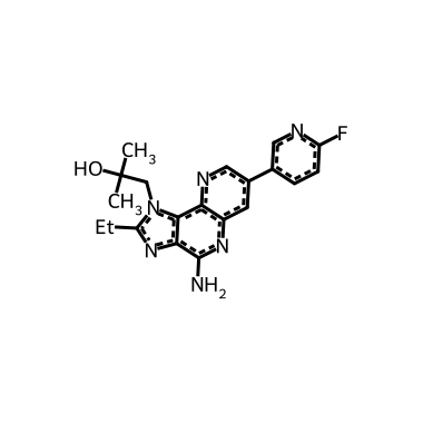 CCc1nc2c(N)nc3cc(-c4ccc(F)nc4)cnc3c2n1CC(C)(C)O